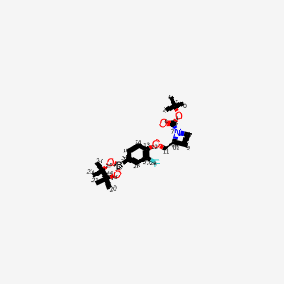 CC(C)(C)OC(=O)N1CC[C@H]1COc1ccc(B2OC(C)(C)C(C)(C)O2)cc1F